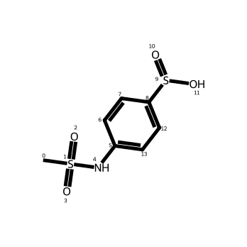 CS(=O)(=O)Nc1ccc(S(=O)O)cc1